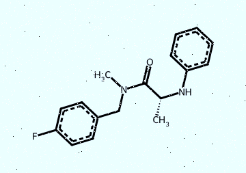 C[C@@H](Nc1ccccc1)C(=O)N(C)Cc1ccc(F)cc1